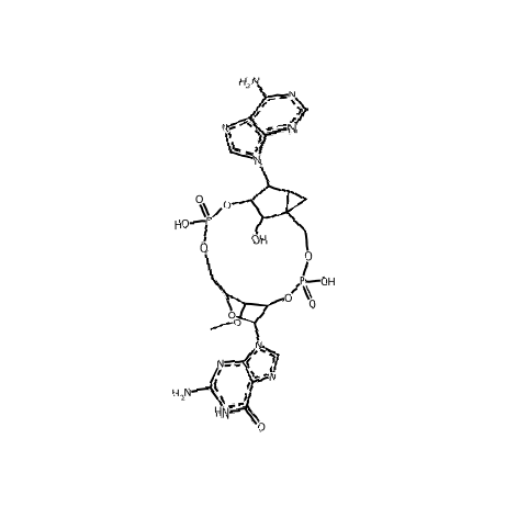 COC1C2COP(=O)(O)OC3C(n4cnc5c(N)ncnc54)C4CC4(COP(=O)(O)OC1C(n1cnc4c(=O)[nH]c(N)nc41)O2)C3O